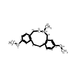 COc1ccc2c(c1)CCc1ccc(OC)cc1CN(C)CC2